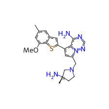 COc1cc(C)cc2cc(-c3cc(CN4CC[C@](C)(N)C4)n4ncnc(N)c34)sc12